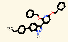 Cn1nc(-c2ccc(OCc3ccccc3)nc2OCc2ccccc2)c2ccc(-c3ccc(CC(=O)O)cc3)cc21